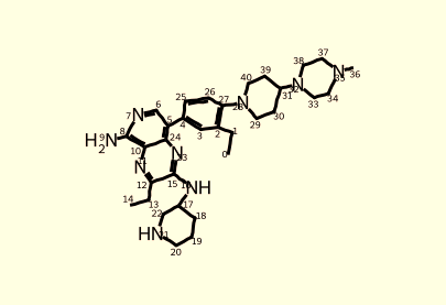 CCc1cc(-c2cnc(N)c3nc(CC)c(NC4CCCNC4)nc23)ccc1N1CCC(N2CCN(C)CC2)CC1